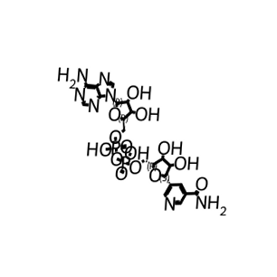 NC(=O)c1cncc([C@@H]2O[C@H](COP(=O)(O)OP(=O)(O)OC[C@H]3O[C@@H](n4cnc5c(N)ncnc54)C(O)C3O)C(O)C2O)c1